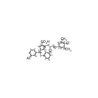 CC(=O)c1cccc(N(Cc2cccc(Cl)c2)c2cc(C(=O)O)n(CCCOc3cc(C)c(Cl)c(C)c3)c2)c1